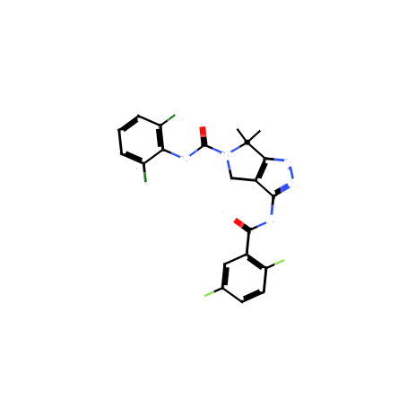 CC1(C)c2[nH]nc(NC(=O)c3cc(F)ccc3F)c2CN1C(=O)Nc1c(Cl)cccc1Cl